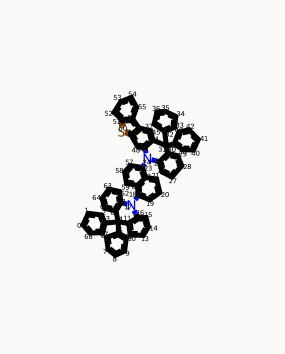 c1ccc(C2(c3ccccc3)c3ccccc3N(c3cccc4c(N5c6ccccc6C(c6ccccc6)(c6ccccc6)c6cc7c(cc65)sc5ccccc57)cccc34)c3ccccc32)cc1